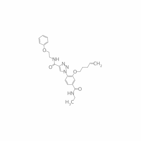 C=CCCCOc1cc(C(=O)NCC)ccc1-n1cc(C(=O)NCCOc2ccccc2)nn1